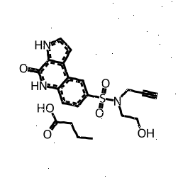 C#CCN(CCO)S(=O)(=O)c1ccc2[nH]c(=O)c3[nH]ccc3c2c1.CCCC(=O)O